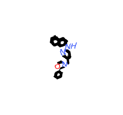 c1ccc([C@H]2CN(Cc3ccc(Nc4ccc5ccccc5c4)nc3)CCO2)cc1